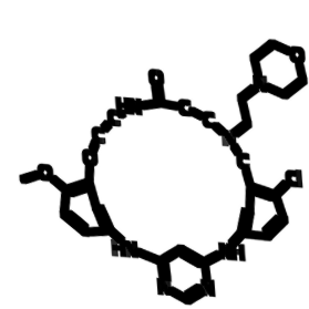 COc1ccc2cc1OCCNC(=O)CCN(CCN1CCOCC1)Cc1cc(ccc1Cl)Nc1cc(ncn1)N2